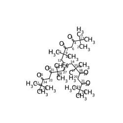 CC(C)(C)C(=O)CC(=O)C(C)(C)[CH2][Fe]([CH2]C(C)(C)C(=O)CC(=O)C(C)(C)C)[CH2]C(C)(C)C(=O)CC(=O)C(C)(C)C